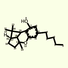 CCCCCc1cc(O)c2c(c1)OC1(C)CC[C@H]3C1C2C3(C)C